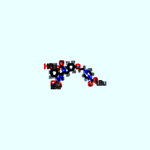 CC(C)(C)OC(=O)N1CCN(CCOc2ccc3c(c2)cc(-c2nn(C(=O)OC(C)(C)C)c4ccc(O)cc24)n3C(=O)OC(C)(C)C)CC1